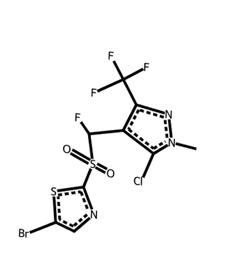 Cn1nc(C(F)(F)F)c(C(F)S(=O)(=O)c2ncc(Br)s2)c1Cl